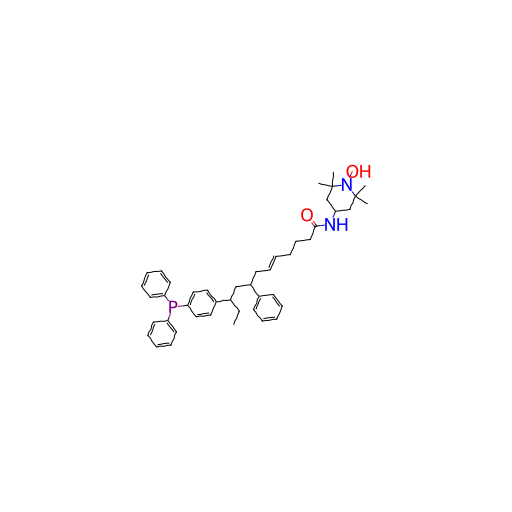 CCC(CC(C/C=C/CCCC(=O)NC1CC(C)(C)N(O)C(C)(C)C1)c1ccccc1)c1ccc(P(c2ccccc2)c2ccccc2)cc1